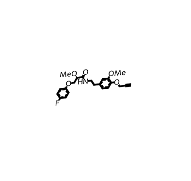 C#CCOc1ccc(CCNC(=O)[C@H](COc2ccc(F)cc2)OC)cc1OC